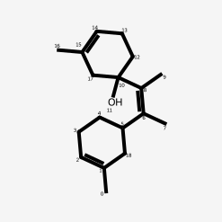 CC1=CCCC(C(C)=C(C)C2(O)CCC=C(C)C2)C1